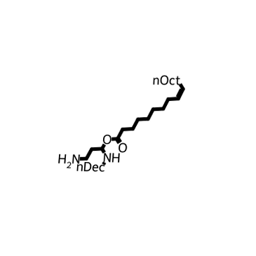 CCCCCCCC/C=C\CCCCCCCC(=O)OC(CCN)NCCCCCCCCCC